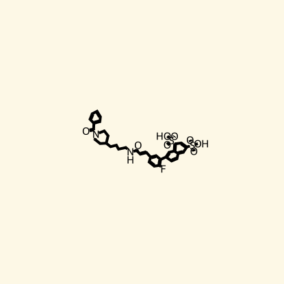 O=C(/C=C/c1ccc(F)c(-c2ccc3cc(S(=O)(=O)O)cc(S(=O)(=O)O)c3c2)c1)NCCCCC1CCN(C(=O)c2ccccc2)CC1